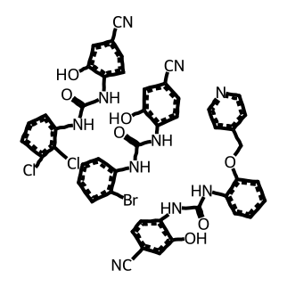 N#Cc1ccc(NC(=O)Nc2cccc(Cl)c2Cl)c(O)c1.N#Cc1ccc(NC(=O)Nc2ccccc2Br)c(O)c1.N#Cc1ccc(NC(=O)Nc2ccccc2OCc2ccncc2)c(O)c1